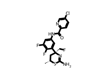 C[C@@H]1C[C@@](CF)(c2cc(NC(=O)c3ccc(Cl)cn3)cc(F)c2F)N=C(N)S1